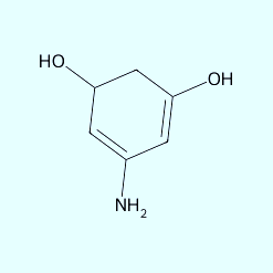 NC1=CC(O)CC(O)=C1